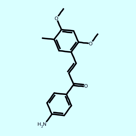 COc1cc(OC)c(C=CC(=O)c2ccc(N)cc2)cc1C